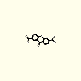 O=C(Cl)c1ccc2c(=O)c3cc(C(=O)Cl)ccc3sc2c1